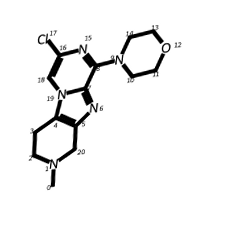 CN1CCc2c(nc3c(N4CCOCC4)nc(Cl)cn23)C1